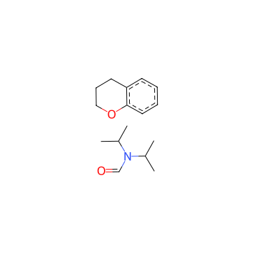 CC(C)N(C=O)C(C)C.c1ccc2c(c1)CCCO2